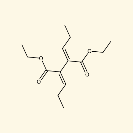 CCC=C(C(=O)OCC)C(=CCC)C(=O)OCC